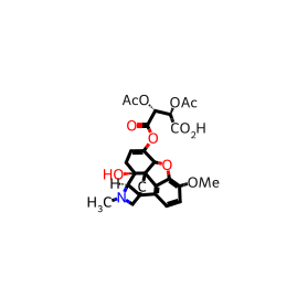 COc1ccc2c3c1OC1C(OC(=O)[C@H](OC(C)=O)[C@@H](OC(C)=O)C(=O)O)=CC[C@@]4(O)[C@@H]5N(C)CC25CC314